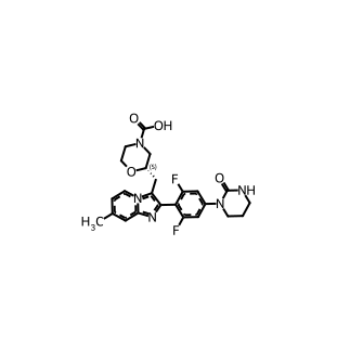 Cc1ccn2c(C[C@H]3CN(C(=O)O)CCO3)c(-c3c(F)cc(N4CCCNC4=O)cc3F)nc2c1